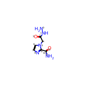 NNC(=O)Cn1ccnc1C(N)=O